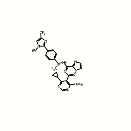 COc1ncnc(C2CC2)c1-c1nc(N[C@H](C)c2ccc(-c3nc(C(F)(F)F)cn3C(C)C)cc2)c2nccn2n1